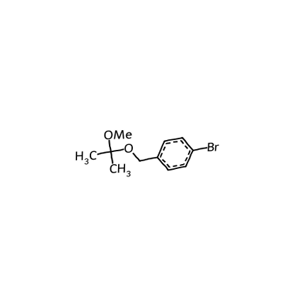 COC(C)(C)OCc1ccc(Br)cc1